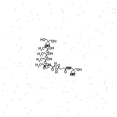 C=CC(=O)O.C=CC(=O)O.C=CC(=O)O.C=CC(=O)O.C=CC(=O)O.O=C(O)CCC(=O)O.OCC(CO)(CO)CO.OCC(CO)(CO)CO